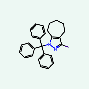 Ic1nn(C(c2ccccc2)(c2ccccc2)c2ccccc2)c2c1CCCCC2